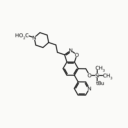 CC(C)(C)[Si](C)(C)OCc1c(-c2cccnc2)ccc2c(CCC3CCN(C(=O)O)CC3)noc12